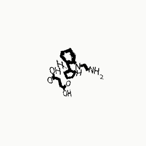 NCCN1c2ccccc2[C@@H]2CCC[C@@H]21.O=C(O)/C=C/C(=O)O